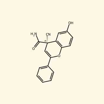 N#C[C@@]1(C(N)=O)C=C(c2ccccc2)Oc2ccc(O)cc21